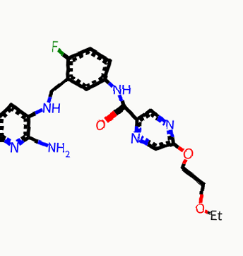 CCOCCOc1cnc(C(=O)Nc2ccc(F)c(CNc3cccnc3N)c2)cn1